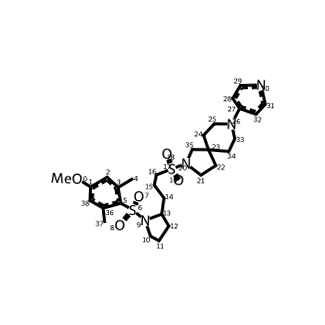 COc1cc(C)c(S(=O)(=O)N2CCCC2CCCS(=O)(=O)N2CCC3(CCN(c4ccncc4)CC3)C2)c(C)c1